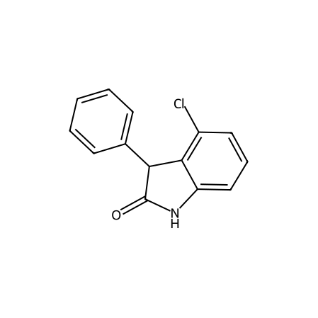 O=C1Nc2cccc(Cl)c2C1c1ccccc1